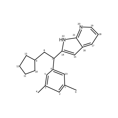 Cc1cc(C)cc(C(CC2CCCC2)c2cc3cccnc3[nH]2)c1